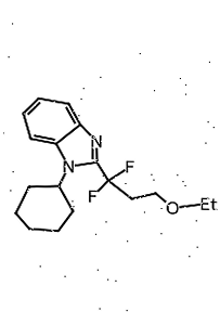 CCOCCC(F)(F)c1nc2ccccc2n1C1CCCCC1